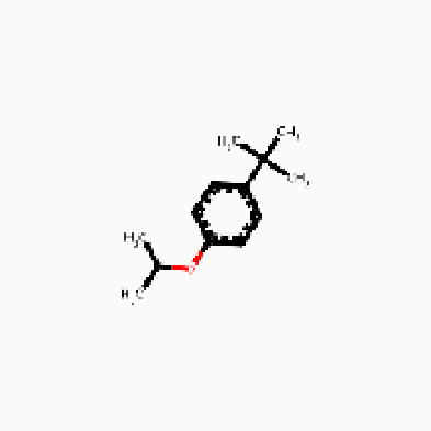 CC(C)Oc1[c]cc(C(C)(C)C)cc1